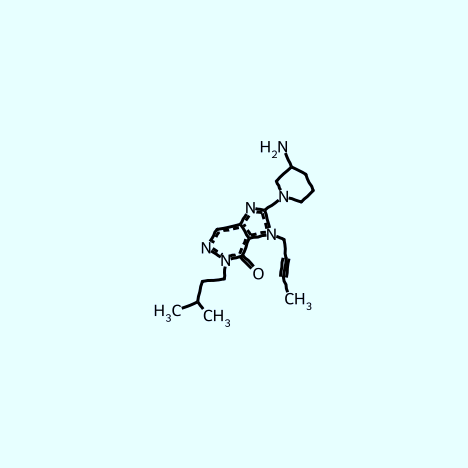 CC#CCn1c(N2CCCC(N)C2)nc2cnn(CCC(C)C)c(=O)c21